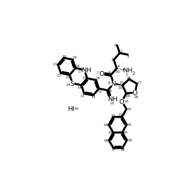 CC(C)C[C@H](N)C(=O)N(C(=N)c1ccc2c(c1)Nc1ccccc1S2)[C@H]1CCOC1OCc1ccc2ccccc2c1.I